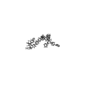 Cc1c(C(=O)O)c(-c2cccc(N3CCN(c4ccc(N5CCO[P@@]5(=O)c5ccc(NC(CCN6CCC(C#P=O)CC6)CSc6ccccc6)c(S(=O)(=O)C(F)(F)F)c5)cc4)CC3)c2)c(-c2ccc(Cl)cc2)n1C(C)C